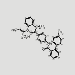 CCCC=C(Oc1ccccc1N(C)C(=O)c1ccc(NC(=O)c2ccccc2-c2ccc(C)cc2)cc1)C(=O)O